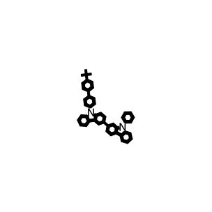 CC(C)(C)c1ccc(-c2ccc(-n3c4ccccc4c4cc(-c5ccc6c7ccccc7n(-c7ccccc7)c6c5)ccc43)cc2)cc1